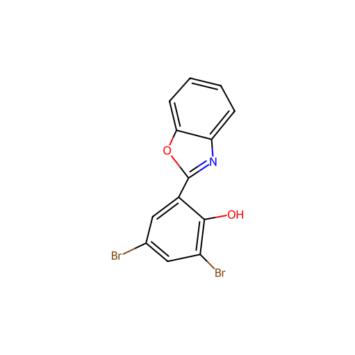 Oc1c(Br)cc(Br)cc1-c1nc2ccccc2o1